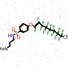 CNCCCNS(=O)(=O)c1ccc(OC(F)=C(F)C(F)(F)C(F)(F)C(F)(F)C(F)(F)C(F)(F)C(F)(F)C(F)(F)F)cc1